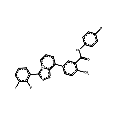 Cc1ccc(-c2cccn3c(-c4cccc(F)c4F)nnc23)cc1C(=O)Nc1ccc(F)cc1